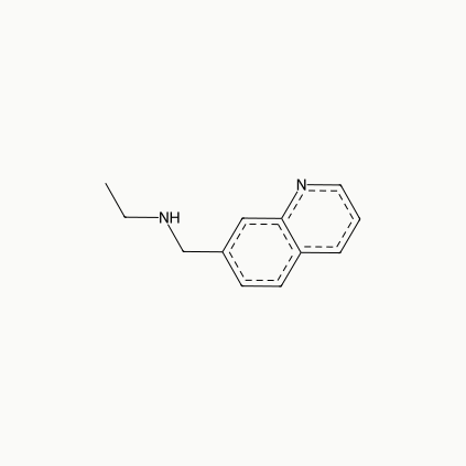 CCNCc1ccc2cccnc2c1